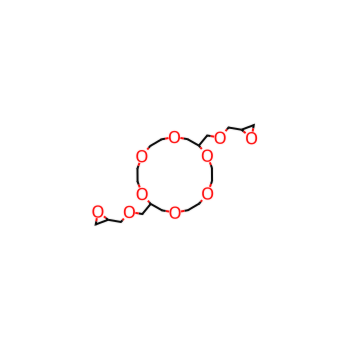 C1COCC(COCC2CO2)OCCOCCOCC(COCC2CO2)OCCO1